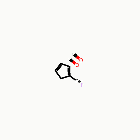 [C]=O.[C]=O.[Fe+][C]1=CC=CC1.[I-]